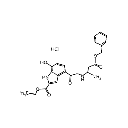 CCOC(=O)c1cc2c(C(=O)CNC(C)CC(=O)OCc3ccccc3)ccc(O)c2[nH]1.Cl